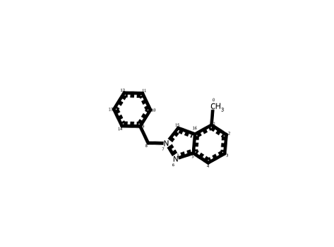 Cc1cccc2nn(Cc3ccccc3)cc12